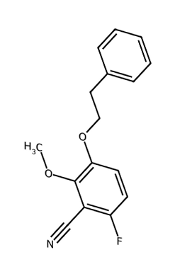 COc1c(OCCc2ccccc2)ccc(F)c1C#N